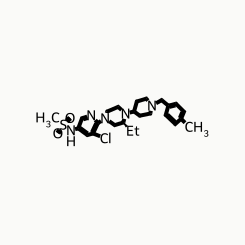 CC[C@H]1CN(c2ncc(NS(C)(=O)=O)cc2Cl)CCN1C1CCN(Cc2ccc(C)cc2)CC1